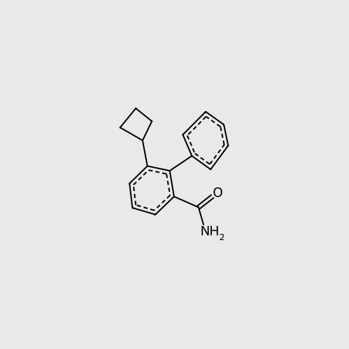 NC(=O)c1cccc(C2CCC2)c1-c1ccccc1